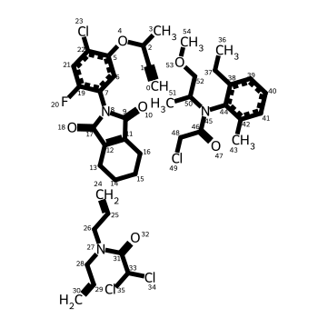 C#CC(C)Oc1cc(N2C(=O)C3=C(CCCC3)C2=O)c(F)cc1Cl.C=CCN(CC=C)C(=O)C(Cl)Cl.CCc1cccc(C)c1N(C(=O)CCl)C(C)COC